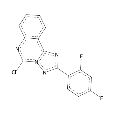 Fc1ccc(-c2nc3c4ccccc4nc(Cl)n3n2)c(F)c1